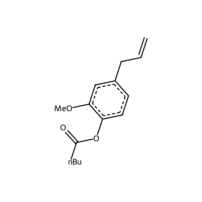 C=CCc1ccc(OC(=O)CCCC)c(OC)c1